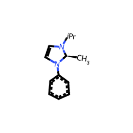 CC(C)N1C=CN(c2ccccc2)[C@@H]1C